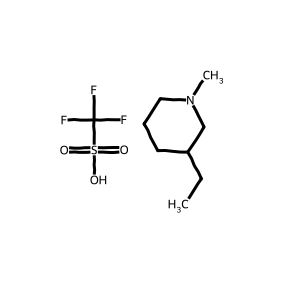 CCC1CCCN(C)C1.O=S(=O)(O)C(F)(F)F